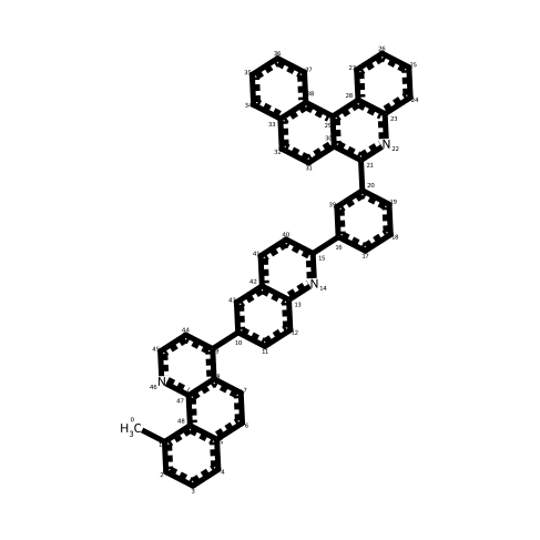 Cc1cccc2ccc3c(-c4ccc5nc(-c6cccc(-c7nc8ccccc8c8c7ccc7ccccc78)c6)ccc5c4)ccnc3c12